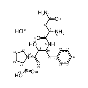 Cl.NC(=O)C[C@H](N)C(=O)NC(Cc1ccccc1)C(O)C(=O)N1CCC[C@H]1C(=O)O